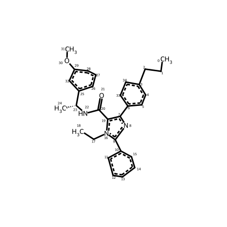 CCCc1ccc(-c2nc(-c3ccccc3)n(CC)c2C(=O)N[C@H](C)c2cccc(OC)c2)cc1